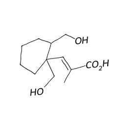 CC(=CC1(CO)CCCCC1CO)C(=O)O